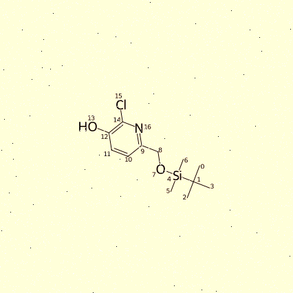 CC(C)(C)[Si](C)(C)OCc1ccc(O)c(Cl)n1